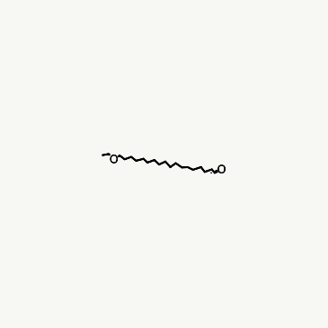 CCOCCCCCCCCCCCCCCCCC[C]=O